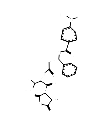 CC(C)[C@H](NC(=O)C[C@H](NC(=O)c1ccc(N(C)C)cc1)c1ccccc1)C(=O)[C@@H]1C(=O)NC(=O)[C@H]1C